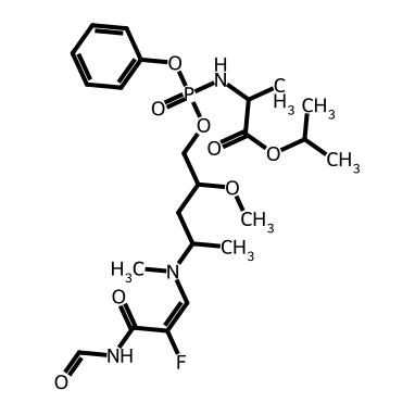 COC(COP(=O)(NC(C)C(=O)OC(C)C)Oc1ccccc1)CC(C)N(C)/C=C(/F)C(=O)NC=O